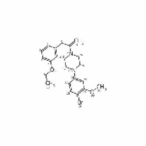 C=C(Cc1cccc(OCC)c1)N1CCN(c2ccc(Br)c(OC)c2)CC1